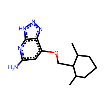 CC1CCCC(C)C1COc1cc(N)nc2[nH]nnc12